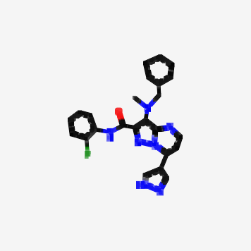 CN(Cc1ccccc1)c1c(C(=O)Nc2ccccc2F)nn2c(-c3cn[nH]c3)ccnc12